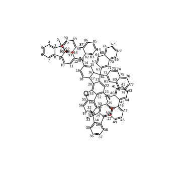 CC1(C)c2ccccc2-c2ccc(N(C3=CC4C(C=C3)c3c(cc(N(c5ccc6c(c5)C(C)(C)c5ccccc5-6)c5ccccc5-c5ccccc5)c5c3oc3ccccc35)C4(c3ccc4ccccc4c3)c3ccc4ccccc4c3)c3ccccc3-c3ccccc3)cc21